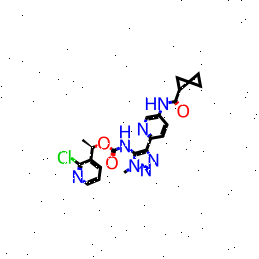 C[C@@H](OC(=O)Nc1c(-c2ccc(NC(=O)C3CC34CC4)cn2)nnn1C)c1cccnc1Cl